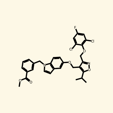 COC(=O)c1cccc(Cn2ccc3cc(OCc4c(COc5c(Cl)cc(F)cc5Cl)noc4C(C)C)ccc32)c1